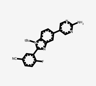 CC(C)(C)n1c(-c2cc(C#N)ccc2F)nc2cc(-c3cnc(N)nc3)ccc21